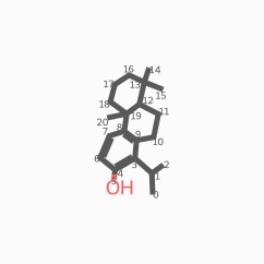 CC(C)c1c(O)ccc2c1CCC1C(C)(C)CCCC21C